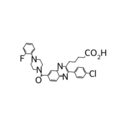 O=C(O)CCCCc1nc2cc(C(=O)N3CCN(c4ccccc4F)CC3)ccc2nc1-c1ccc(Cl)cc1